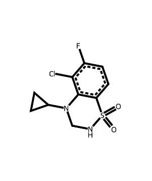 O=S1(=O)NCN(C2CC2)c2c1ccc(F)c2Cl